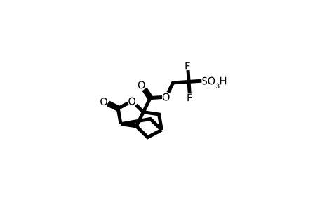 O=C1OC2(C(=O)OCC(F)(F)S(=O)(=O)O)CC3CC1C2C3